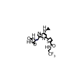 O=C1NC(=O)/C(=C/c2cnn3c(NC4CC4)cc(C4CC=C(C(=O)NCCC(F)(F)F)S4)nc23)N1